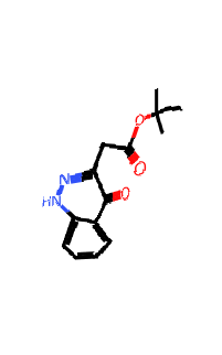 CC(C)(C)OC(=O)Cc1n[nH]c2ccccc2c1=O